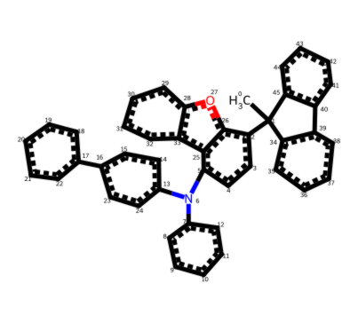 CC1(c2ccc(N(c3ccccc3)c3ccc(-c4ccccc4)cc3)c3c2oc2ccccc23)c2ccccc2-c2ccccc21